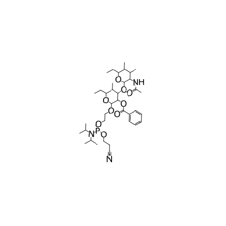 CCC1OC(OC2C(C)C(CC)OC(OCCOP(OCCC#N)N(C(C)C)C(C)C)C2OC(=O)c2ccccc2)C(NC(C)=O)C(C)C1C